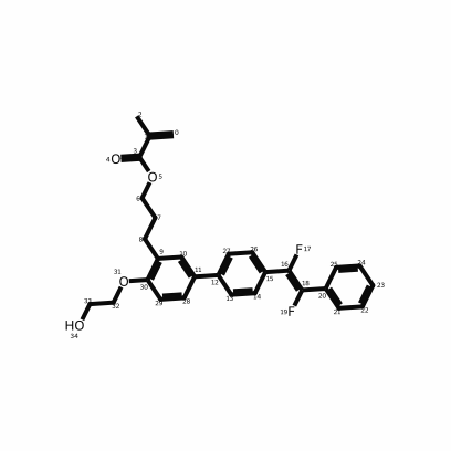 C=C(C)C(=O)OCCCc1cc(-c2ccc(/C(F)=C(\F)c3ccccc3)cc2)ccc1OCCO